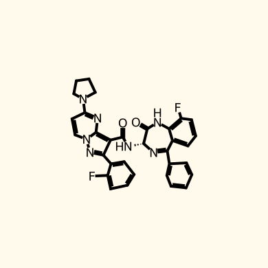 O=C(N[C@H]1N=C(c2ccccc2)c2cccc(F)c2NC1=O)c1c(-c2ccccc2F)nn2ccc(N3CCCC3)nc12